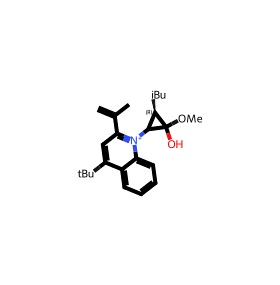 C=C(C)c1cc(C(C)(C)C)c2ccccc2[n+]1C1[C@@H](C(C)CC)C1(O)OC